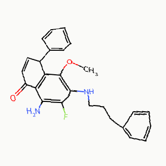 COc1c(NCCCc2ccccc2)c(F)c(N)c2c1C(c1ccccc1)C=CC2=O